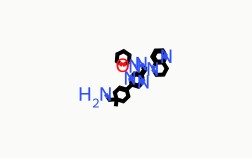 CC1(CN)CC=C(c2cnc3c(N4CCCc5ncccc54)nn(C4CCCCO4)c3n2)CC1